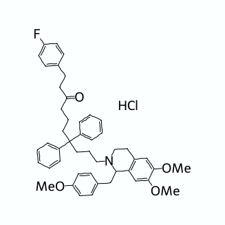 COc1ccc(CC2c3cc(OC)c(OC)cc3CCN2CCCC(CCCC(=O)CCc2ccc(F)cc2)(c2ccccc2)c2ccccc2)cc1.Cl